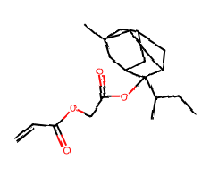 C=CC(=O)OCC(=O)OC1(C(C)CC)C2CC3CC1CC(C)(C3)C2